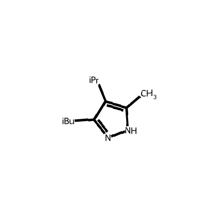 CCC(C)c1n[nH]c(C)c1C(C)C